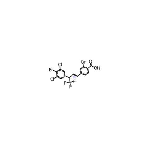 O=C(O)c1ccc(/C=C/C(c2cc(Cl)c(Br)c(Cl)c2)C(F)(F)F)cc1Br